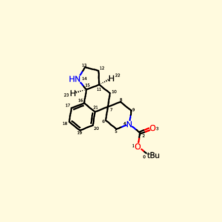 CC(C)(C)OC(=O)N1CCC2(CC1)C[C@@H]1CCN[C@@H]1c1ccccc12